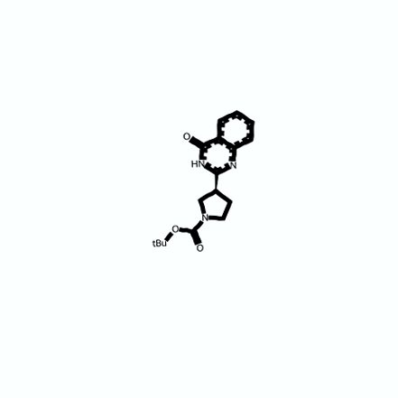 CC(C)(C)OC(=O)N1CC[C@H](c2nc3ccccc3c(=O)[nH]2)C1